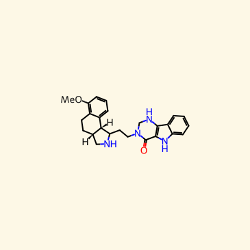 COc1cccc2c1CC[C@H]1CNC(CCN3CNc4c([nH]c5ccccc45)C3=O)[C@@H]21